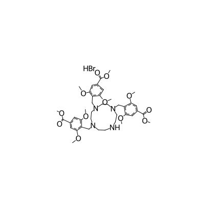 Br.COC(=O)c1cc(OC)c(CN2CCNCCN(Cc3c(OC)cc(C(=O)OC)cc3OC)CCN(Cc3c(OC)cc(C(=O)OC)cc3OC)CC2)c(OC)c1